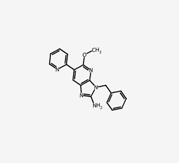 COc1nc2c(cc1-c1ccccn1)nc(N)n2Cc1ccccc1